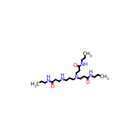 CCCNC(=O)CCNCCCN(CCC(=O)NCCC)CCC(=O)NCCC